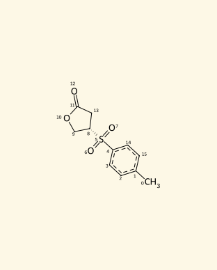 Cc1ccc(S(=O)(=O)[C@@H]2COC(=O)C2)cc1